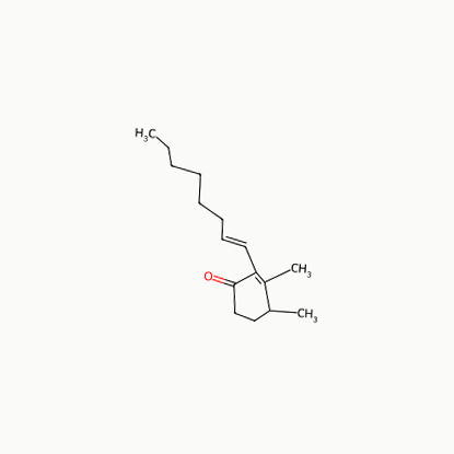 CCCCCCC=CC1=C(C)C(C)CCC1=O